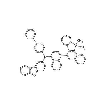 CC1(C)c2ccccc2-c2c(-c3ccc(N(c4ccc(-c5ccccc5)cc4)c4ccc5oc6ccccc6c5c4)c4ccccc34)cc3ccccc3c21